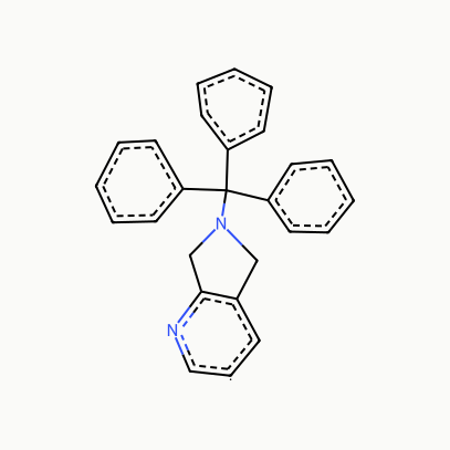 [c]1cnc2c(c1)CN(C(c1ccccc1)(c1ccccc1)c1ccccc1)C2